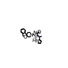 C/C(=C1/SC(N2CCC3(CC2)OCc2ccccc23)=NC1=O)c1ccc[nH]1